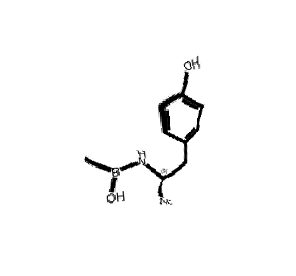 CB(O)N[C@@H](Cc1ccc(O)cc1)C(C)=O